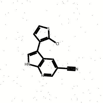 N#Cc1cnc2[nH]cc(-c3ccsc3Cl)c2c1